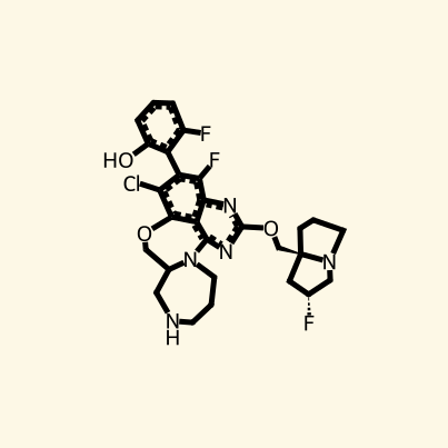 Oc1cccc(F)c1-c1c(Cl)c2c3c(nc(OC[C@@]45CCCN4C[C@H](F)C5)nc3c1F)N1CCCNCC1CO2